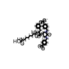 O=C(O)NCCCCCCC(=O)NC(Cc1ccccc1)C(=O)N1C/C(=C\c2ccc([N+](=O)[O-])cc2)C(=O)/C(=C/c2ccc([N+](=O)[O-])cc2)C1